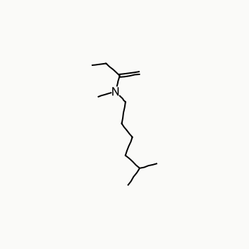 C=C(CC)N(C)CCCCC(C)C